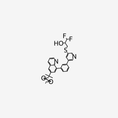 CC(C)(c1cc(-c2cccc(-c3cncc(SCC(O)C(F)F)c3)c2)c2ncccc2c1)S(C)(=O)=O